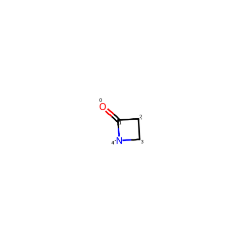 O=C1[CH]C[N]1